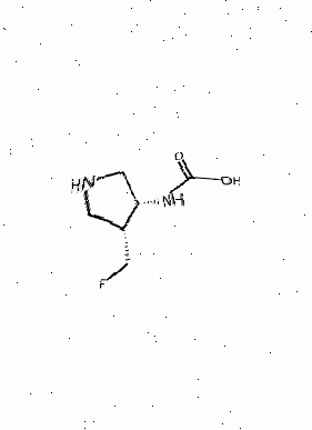 O=C(O)N[C@H]1CNC[C@H]1CF